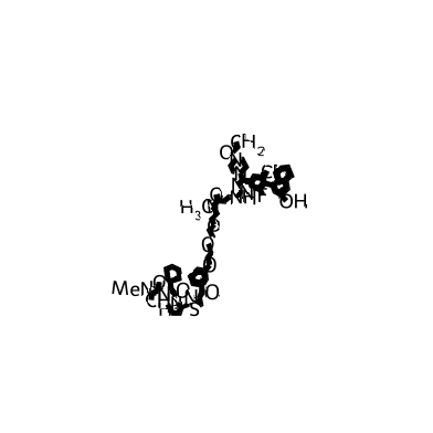 C=CC(=O)N1CCN(c2nc(NCCC(=O)N(C)CCOCCOCCOc3cccc(C(=O)c4csc(C5CCCN5C(=O)C(NC(=O)C(C)NC)C5CCCCC5)n4)c3)nc3c(F)c(-c4cc(O)cc5ccccc45)c(Cl)cc23)CC1